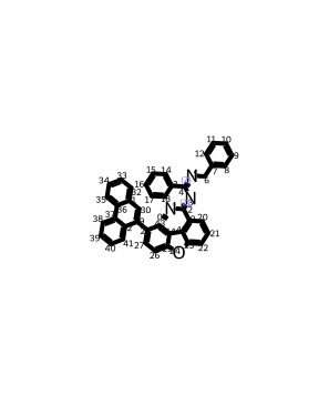 C=N/C(=N\C(=N/Cc1ccccc1)c1ccccc1)c1cccc2oc3ccc(-c4cc5ccccc5c5ccccc45)cc3c12